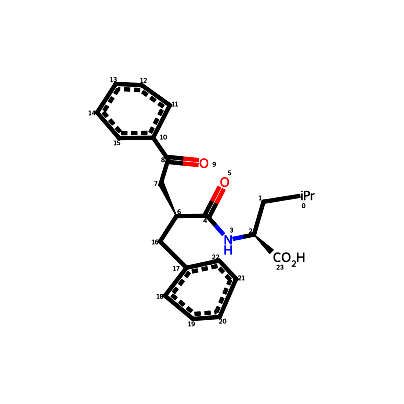 CC(C)C[C@H](NC(=O)[C@H](CC(=O)c1ccccc1)Cc1ccccc1)C(=O)O